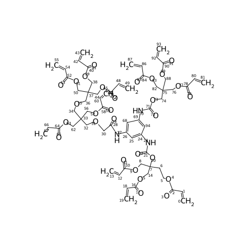 C=CC(=O)OCCC(COC(=O)C=C)(COC(=O)C=C)OC(=O)Nc1cc(NC(=O)COCC(COCC(COC(=O)C=C)(COC(=O)C=C)COC(=O)C=C)(COC(=O)C=C)COC(=O)C=C)cc(NC(=O)OCC(COC(=O)C=C)(COC(=O)C=C)COC(=O)C=C)c1